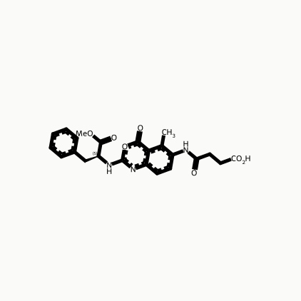 COC(=O)[C@H](Cc1ccccc1)Nc1nc2ccc(NC(=O)CCC(=O)O)c(C)c2c(=O)o1